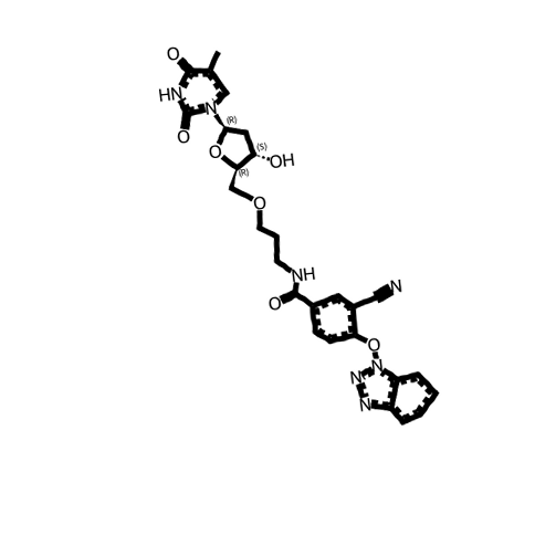 Cc1cn([C@H]2C[C@H](O)[C@@H](COCCCNC(=O)c3ccc(On4nnc5ccccc54)c(C#N)c3)O2)c(=O)[nH]c1=O